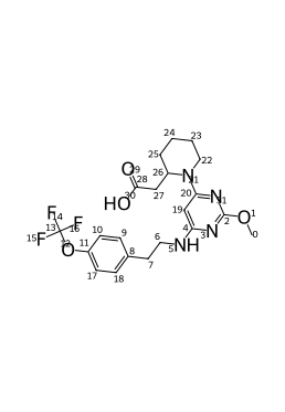 COc1nc(NCCc2ccc(OC(F)(F)F)cc2)cc(N2CCCCC2CC(=O)O)n1